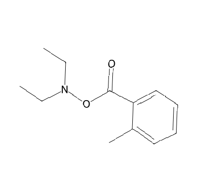 CCN(CC)OC(=O)c1ccccc1C